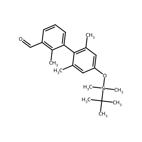 Cc1cc(O[Si](C)(C)C(C)(C)C)cc(C)c1-c1cccc(C=O)c1C